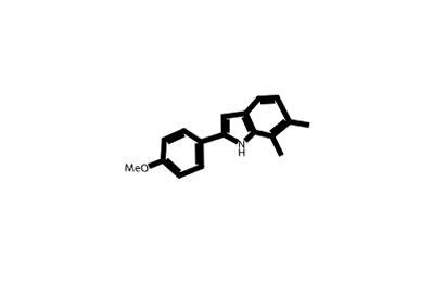 COc1ccc(-c2cc3ccc(C)c(C)c3[nH]2)cc1